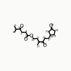 CC(C)C(=O)CCC(=O)OCCC(C)C(=O)CCC1CCC(=O)C1